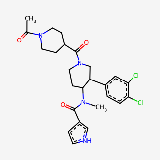 CC(=O)N1CCC(C(=O)N2CCC(N(C)C(=O)c3cc[nH]c3)C(c3ccc(Cl)c(Cl)c3)C2)CC1